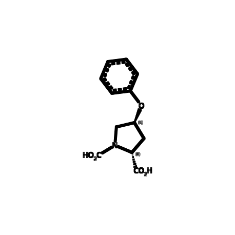 O=C(O)[C@H]1C[C@H](Oc2ccccc2)CN1C(=O)O